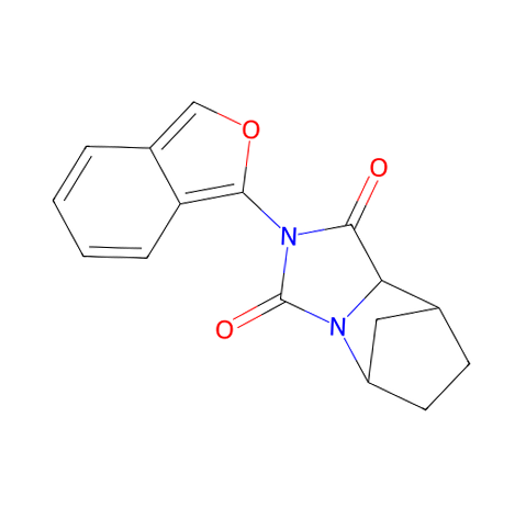 O=C1C2C3CCC(C3)N2C(=O)N1c1occ2ccccc12